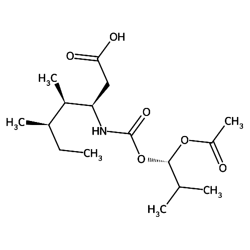 CC[C@@H](C)[C@@H](C)[C@@H](CC(=O)O)NC(=O)O[C@H](OC(C)=O)C(C)C